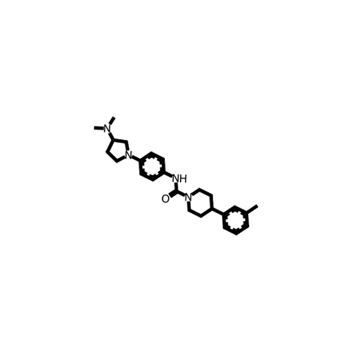 Cc1cccc(C2CCN(C(=O)Nc3ccc(N4CCC(N(C)C)C4)cc3)CC2)c1